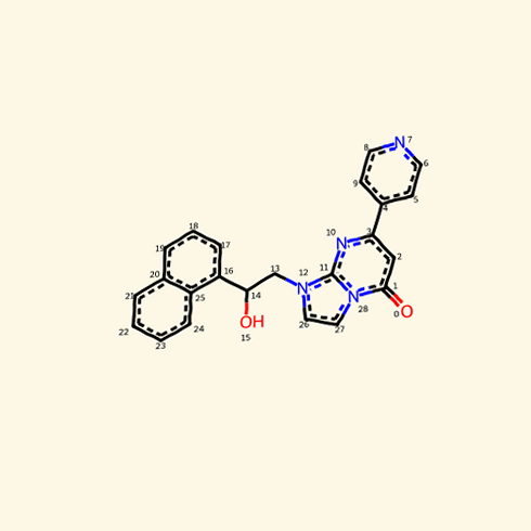 O=c1cc(-c2ccncc2)nc2n(CC(O)c3cccc4ccccc34)ccn12